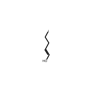 OC=CCCI